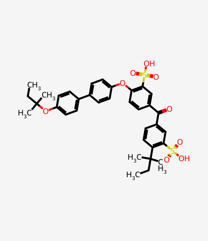 CCC(C)(C)Oc1ccc(-c2ccc(Oc3ccc(C(=O)c4ccc(C(C)(C)CC)c(S(=O)(=O)O)c4)cc3S(=O)(=O)O)cc2)cc1